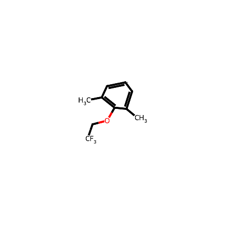 Cc1c[c]cc(C)c1OCC(F)(F)F